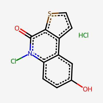 Cl.O=c1c2sccc2c2cc(O)ccc2n1Cl